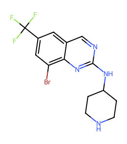 FC(F)(F)c1cc(Br)c2nc(NC3CCNCC3)ncc2c1